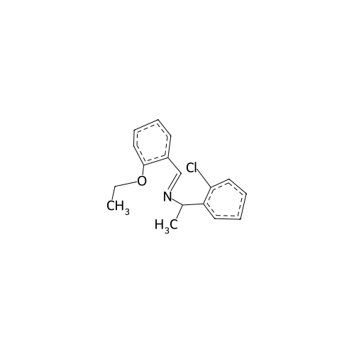 CCOc1ccccc1C=NC(C)c1ccccc1Cl